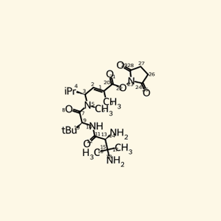 C/C(=C\[C@H](C(C)C)N(C)C(=O)[C@@H](NC(=O)[C@@H](N)C(C)(C)N)C(C)(C)C)C(=O)ON1C(=O)CCC1=O